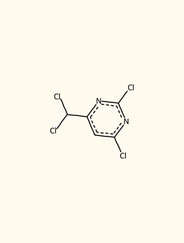 Clc1cc(C(Cl)Cl)nc(Cl)n1